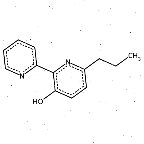 CCCc1ccc(O)c(-c2ccccn2)n1